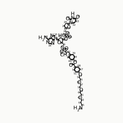 COP(=O)(OC[C@H]1O[C@@H](n2cnc3c(N)ncnc32)C[C@@H]1OP(=O)(O)OC[C@@H]1CC[C@H](n2ccc(=O)[nH]c2=O)O1)SCc1ccc(OC(=O)c2ccc(OCCOCCOCCOCCCN)cc2)cc1